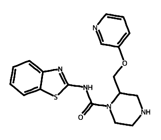 O=C(Nc1nc2ccccc2s1)N1CCNCC1COc1cccnc1